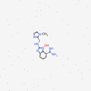 Cn1ccnc1CNc1nc2cccc(C(=N)N)c2n1O